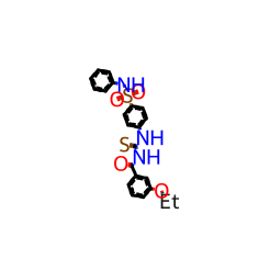 CCOc1cccc(C(=O)NC(=S)Nc2ccc(S(=O)(=O)Nc3ccccc3)cc2)c1